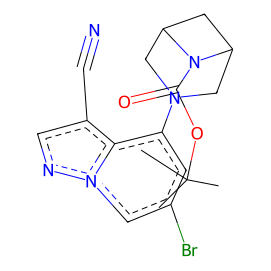 CC(C)(C)OC(=O)N1C2CC1CN(c1cc(Br)cn3ncc(C#N)c13)C2